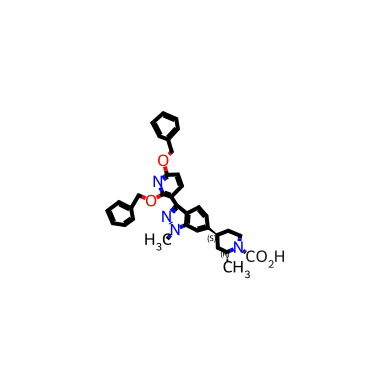 C[C@@H]1C[C@@H](c2ccc3c(-c4ccc(OCc5ccccc5)nc4OCc4ccccc4)nn(C)c3c2)CCN1C(=O)O